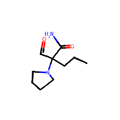 CCCC(C=O)(C(N)=O)N1CCCC1